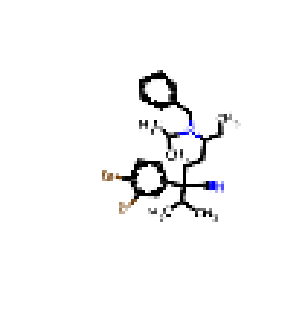 CCC(CCC(C#N)(c1ccc(Br)c(Br)c1)C(C)C)N(Cc1ccccc1)C(C)C